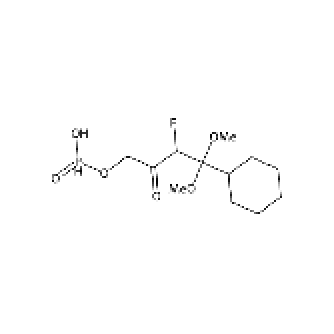 COC(OC)(C1CCCCC1)C(F)C(=O)CO[PH](=O)O